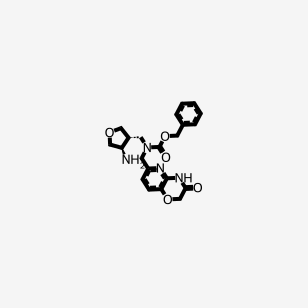 N[C@H]1COC[C@@H]1CN(Cc1ccc2c(n1)NC(=O)CO2)C(=O)OCc1ccccc1